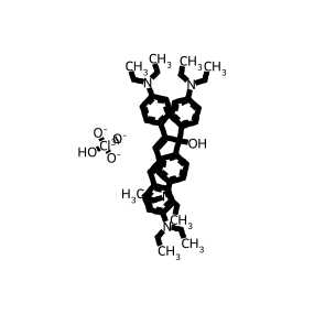 CCN(CC)c1ccc(C=CC=C(c2ccc(N(CC)CC)cc2)C(O)(c2ccc(N(CC)CC)cc2)c2ccc(N(CC)CC)cc2)cc1.[O-][Cl+3]([O-])([O-])O